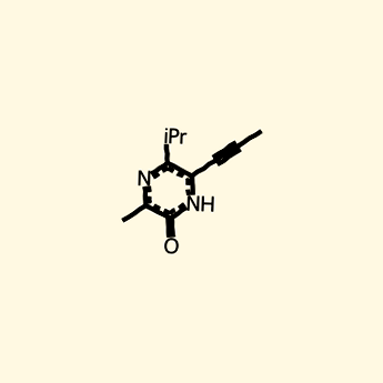 CC#Cc1[nH]c(=O)c(C)nc1C(C)C